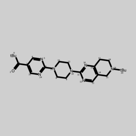 CC(C)(C)C(=O)c1cnc(N2CCN(c3ncc4c(n3)CCN(C(C)(C)C)C4)CC2)nc1